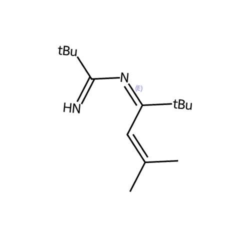 CC(C)=C/C(=N\C(=N)C(C)(C)C)C(C)(C)C